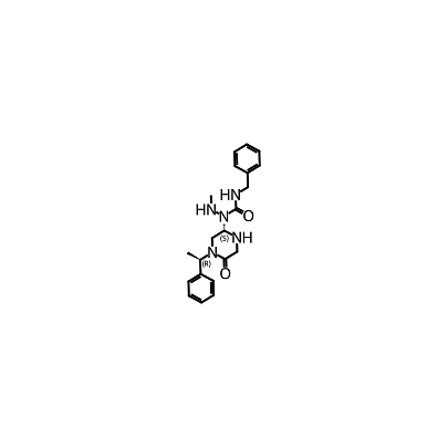 CNN(C(=O)NCc1ccccc1)[C@H]1CN([C@H](C)c2ccccc2)C(=O)CN1